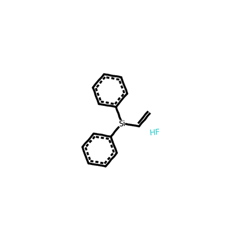 C=C[Si](c1ccccc1)c1ccccc1.F